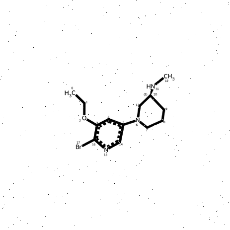 CCOc1cc(N2CCC[C@H](NC)C2)cnc1Br